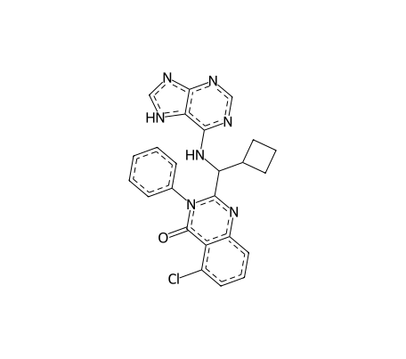 O=c1c2c(Cl)cccc2nc(C(Nc2ncnc3nc[nH]c23)C2CCC2)n1-c1ccccc1